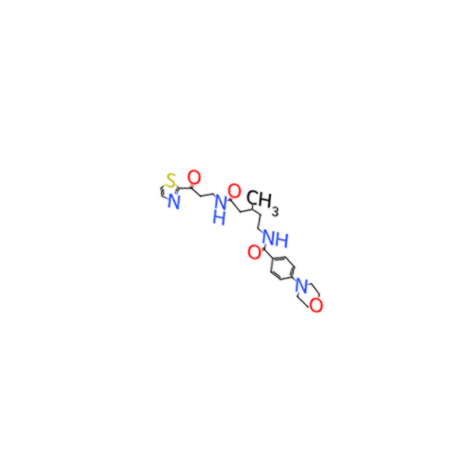 CC(CCNC(=O)c1ccc(N2CCOCC2)cc1)CC(=O)NCCC(=O)c1nccs1